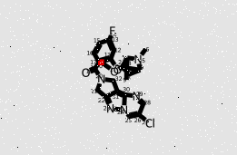 COC1CC2N(C)C1C2(C)Oc1cc(F)ccc1C(=O)N1Cc2nn3cc(Cl)cnc3c2C1